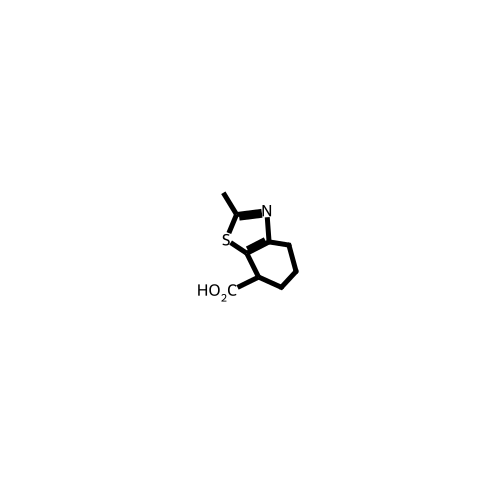 Cc1nc2c(s1)C(C(=O)O)CCC2